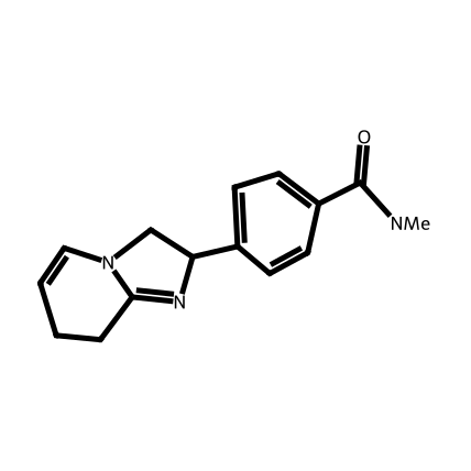 CNC(=O)c1ccc(C2CN3C=CCCC3=N2)cc1